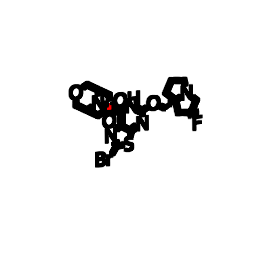 O=C(O)N1C2COCC1CN(c1nc(OC[C@@]34CCCN3C[C@H](F)C4)nc3sc(Br)nc13)C2